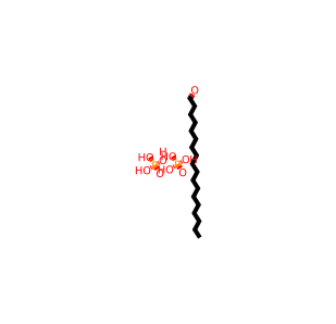 CCCCCCCCCCCCCCCCCC=O.O=P(O)(O)O.O=P(O)(O)O